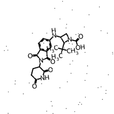 CC(C)(C)C1C(Nc2ccc3c(c2)C(=O)N(C2CCC(=O)NC2=O)C3=O)CN1C(=O)O